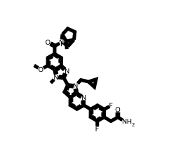 COc1cc(C(=O)N2CC3CCC2[C@@H]3C)cc2nc(-c3cc4ccc(-c5cc(F)c(CC(N)=O)c(F)c5)nc4n3CC3CC3)n(C)c12